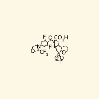 CC1(C)OB(c2ccc(CC(NC(=O)c3c(F)cc(N4CCOC[C@@H]4C(F)(F)F)cc3F)C(=O)O)c3c2OCCC3)OC1(C)C